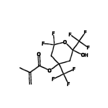 C=C(C)C(=O)OC1(C(F)(F)F)CC(F)(F)OC(O)(C(F)(F)F)C1